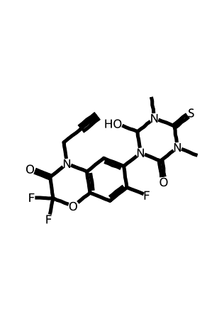 C#CCN1C(=O)C(F)(F)Oc2cc(F)c(N3C(=O)N(C)C(=S)N(C)C3O)cc21